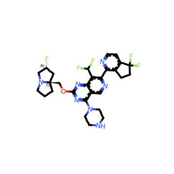 FC(F)c1c(-c2nccc3c2CCC3(F)F)ncc2c(N3CCNCC3)nc(OC[C@@]34CCCN3C[C@H](F)C4)nc12